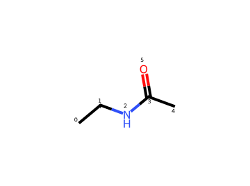 C[CH]NC(C)=O